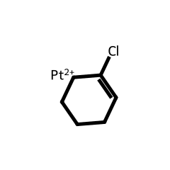 ClC1=CCCCC1.[Pt+2]